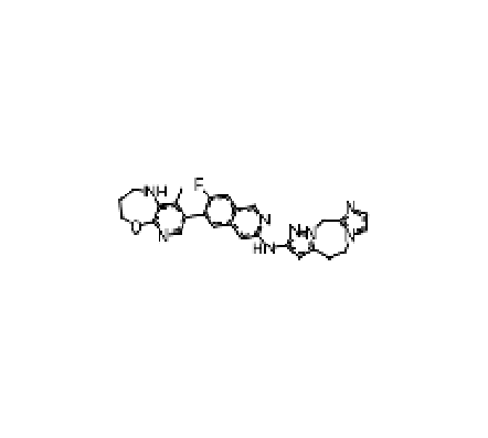 Cc1c(-c2cc3cc(Nc4cc5n(n4)Cc4nccn4CC5)ncc3cc2F)cnc2c1NCCCO2